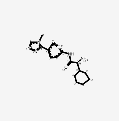 Cn1cnnc1-c1ccc(NC(=O)[C@@H](N)C2CCCCC2)cc1